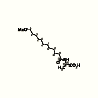 COCCCCCCCCCCCC(=O)N[C@H](C)C(=O)O